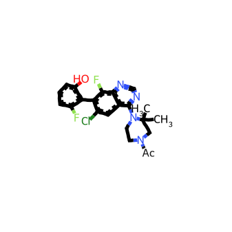 CC(=O)N1CCN(c2ncnc3c(F)c(-c4c(O)cccc4F)c(Cl)cc23)C(C)(C)C1